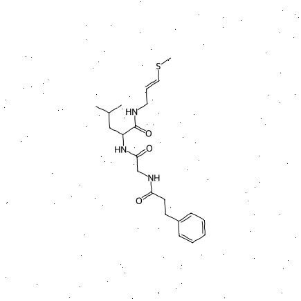 CS/C=C/CNC(=O)C(CC(C)C)NC(=O)CNC(=O)CCc1ccccc1